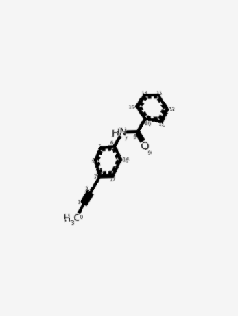 CC#Cc1ccc(NC(=O)c2ccccc2)cc1